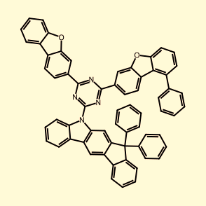 c1ccc(-c2cccc3oc4cc(-c5nc(-c6ccc7c(c6)oc6ccccc67)nc(-n6c7ccccc7c7cc8c(cc76)C(c6ccccc6)(c6ccccc6)c6ccccc6-8)n5)ccc4c23)cc1